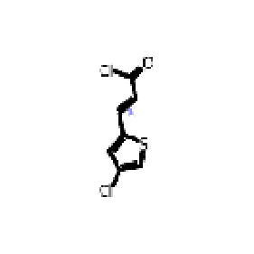 O=C(Cl)/C=C/c1cc(Cl)cs1